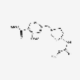 COC(=O)c1ccc(CN2CCC(NC(=O)OC(C)(C)C)CC2)cc1OC